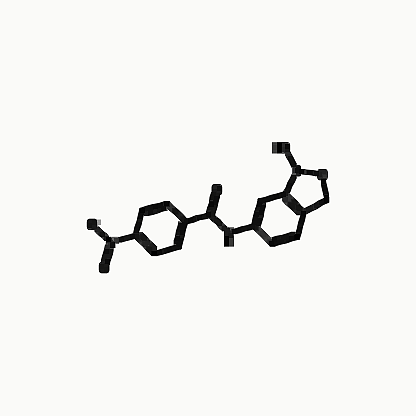 O=C(Nc1ccc2c(c1)B(O)OC2)c1ccc([N+](=O)[O-])cc1